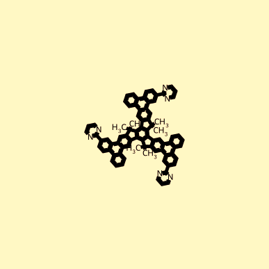 CC1(C)c2cc3c4cc(-c5ncccn5)ccc4c4ccccc4c3cc2-c2c1c1c(c3c2C(C)(C)c2cc4c5cc(-c6ncccn6)ccc5c5ccccc5c4cc2-3)C(C)(C)c2cc3c4cc(-c5ncccn5)ccc4c4ccccc4c3cc2-1